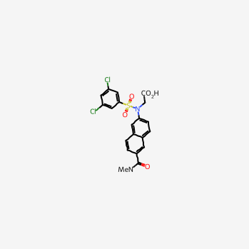 CNC(=O)c1ccc2cc(N(CC(=O)O)S(=O)(=O)c3cc(Cl)cc(Cl)c3)ccc2c1